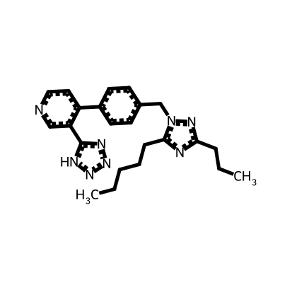 CCCCCc1nc(CCC)nn1Cc1ccc(-c2ccncc2-c2nnn[nH]2)cc1